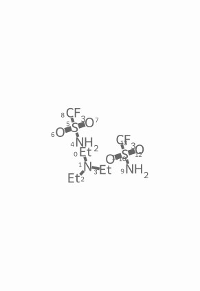 CCN(CC)CC.NS(=O)(=O)C(F)(F)F.NS(=O)(=O)C(F)(F)F